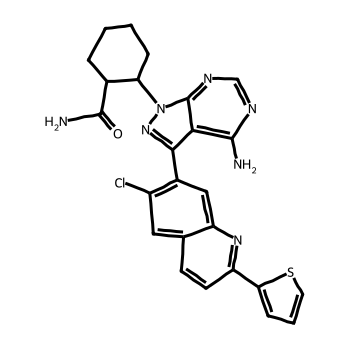 NC(=O)C1CCCCC1n1nc(-c2cc3nc(-c4cccs4)ccc3cc2Cl)c2c(N)ncnc21